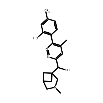 Cc1cc(C(O)C23CC(CN(C)C2)C3)nnc1-c1ccc(C(F)(F)F)cc1O